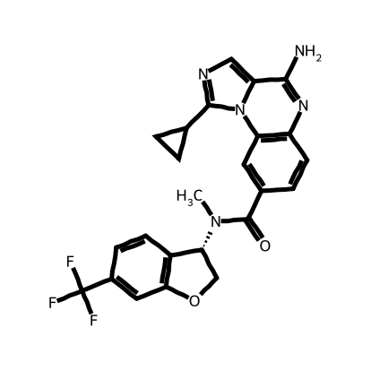 CN(C(=O)c1ccc2nc(N)c3cnc(C4CC4)n3c2c1)[C@@H]1COc2cc(C(F)(F)F)ccc21